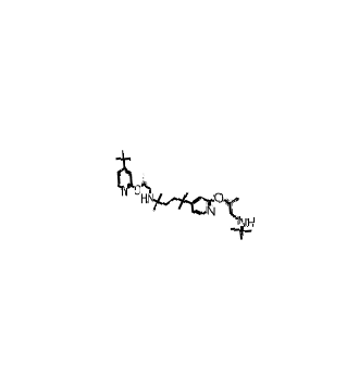 C[C@H](CNC(C)(C)CCC(C)(C)c1ccnc(O[C@@H](C)CNC(C)(C)C)c1)Oc1cc(C(C)(C)C)ccn1